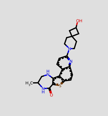 CC1CNc2c(sc3ccc4nc(N5CCC6(CC5)CC(O)C6)ccc4c23)C(=O)N1